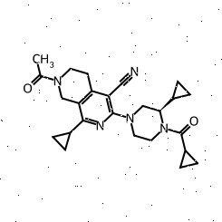 CC(=O)N1CCc2c(C#N)c(N3CCN(C(=O)C4CC4)[C@H](C4CC4)C3)nc(C3CC3)c2C1